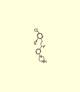 N#Cc1cc(Cl)ccc1CCC(F)c1cccc(N2CCNCC2)c1